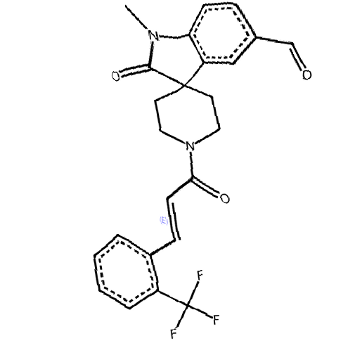 CN1C(=O)C2(CCN(C(=O)/C=C/c3ccccc3C(F)(F)F)CC2)c2cc(C=O)ccc21